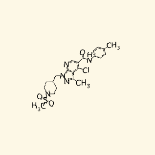 Cc1ccc(NC(=O)c2cnc3c(c(C)nn3CC3CCN(S(C)(=O)=O)CC3)c2Cl)cc1